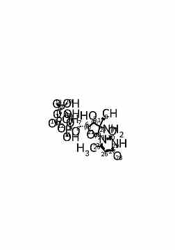 C#CC1(N)[C@@H](O)[C@@H](COP(=O)(O)OP(=O)(O)OP(=O)(O)O)O[C@H]1n1c(C)cc(=O)[nH]c1=O